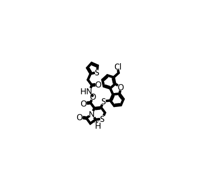 O=C(Cc1cccs1)NOC(=O)C1=C(Sc2cccc3oc4c(CCl)cccc4c23)CS[C@H]2CC(=O)N12